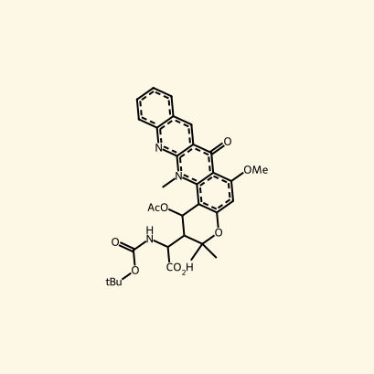 COc1cc2c(c3c1c(=O)c1cc4ccccc4nc1n3C)C(OC(C)=O)C(C(NC(=O)OC(C)(C)C)C(=O)O)C(C)(C)O2